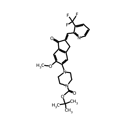 COc1cc2c(cc1N1CCN(C(=O)OC(C)(C)C)CC1)C/C(=C\c1ncccc1C(F)(F)F)C2=O